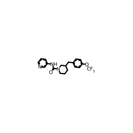 O=C(Nc1cccnc1)N1CCCC(Cc2ccc(OC(F)(F)F)cc2)C1